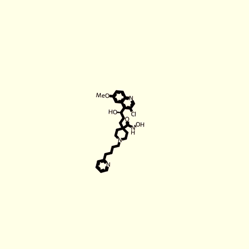 COc1ccc2ncc(Cl)c([C@H](O)CCC3(C(=O)NO)CCN(CCCCc4ccccn4)CC3)c2c1